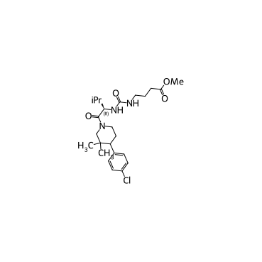 COC(=O)CCCNC(=O)N[C@@H](C(=O)N1CCC(c2ccc(Cl)cc2)C(C)(C)C1)C(C)C